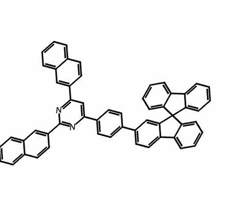 c1ccc2c(c1)-c1ccccc1C21c2ccccc2-c2ccc(-c3ccc(-c4cc(-c5ccc6ccccc6c5)nc(-c5ccc6ccccc6c5)n4)cc3)cc21